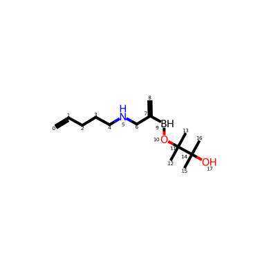 C=CCCCNCC(=C)BOC(C)(C)C(C)(C)O